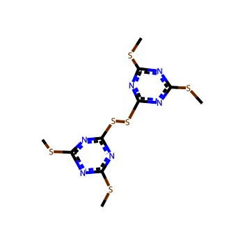 CSc1nc(SC)nc(SSc2nc(SC)nc(SC)n2)n1